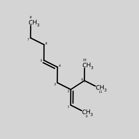 CC=C(CC=CCCC)[C](C)C